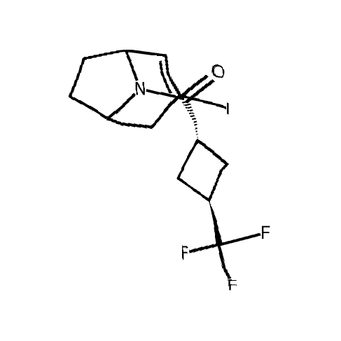 O=C([C@H]1C[C@H](C(F)(F)F)C1)N1C2C=C(I)CC1CC2